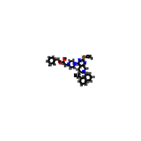 CSc1nc2c(c(N3CCN(CC(=O)OCc4ccccc4)CC3)n1)CCN(c1cccc3cccc(C)c13)C2